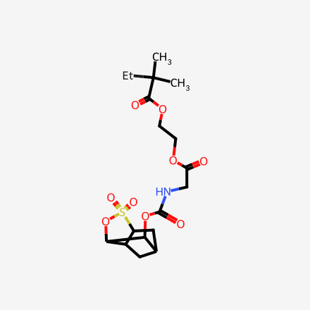 CCC(C)(C)C(=O)OCCOC(=O)CNC(=O)OC1C2CC3C1OS(=O)(=O)C3C2